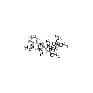 C=CC[C@H](NC(=O)OC(C)(C)C)c1nc(-c2ccccc2N)c[nH]1